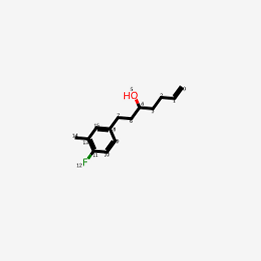 C=CCCC(O)CCc1ccc(F)c(C)c1